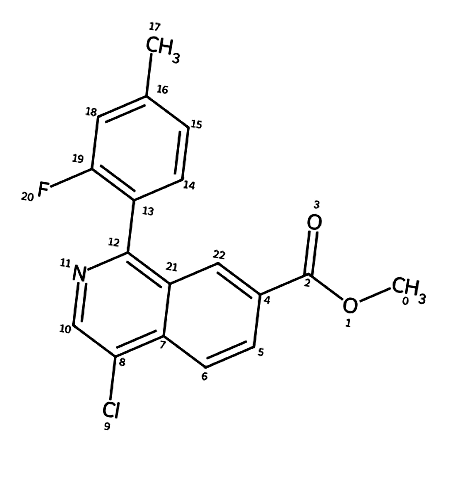 COC(=O)c1ccc2c(Cl)cnc(-c3ccc(C)cc3F)c2c1